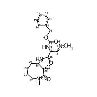 C/N=C/C(NC(=O)OCc1ccccc1)C(=O)NC1CCCCNC(=O)C1=O